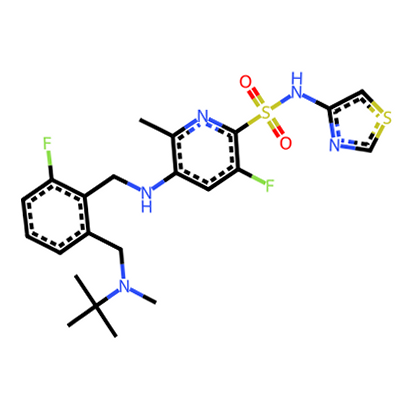 Cc1nc(S(=O)(=O)Nc2cscn2)c(F)cc1NCc1c(F)cccc1CN(C)C(C)(C)C